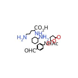 CC(=O)Nc1ccc(C=O)cc1.NC1CCCCC1.NCCC[C@H](N)C(=O)O.O=C1CCC(=O)O1